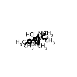 CCCC(CCC)n1/c(=C\N)c2cc(-c3ccc(C(C)C)cc3Br)c3nc(C)cc1n32.Cl